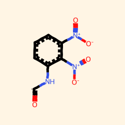 O=[C]Nc1cccc([N+](=O)[O-])c1[N+](=O)[O-]